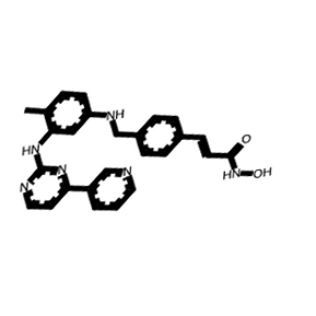 Cc1ccc(NCc2ccc(C=CC(=O)NO)cc2)cc1Nc1nccc(-c2cccnc2)n1